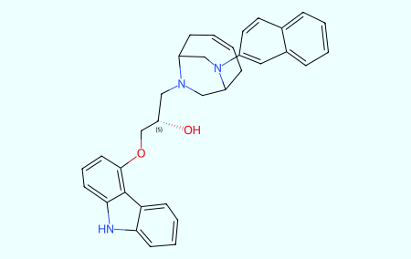 O[C@H](COc1cccc2[nH]c3ccccc3c12)CN1CC2CC=CCC1CN2c1ccc2ccccc2c1